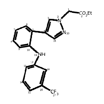 CCOC(=O)Cn1cc(-c2ccccc2Nc2cccc(C(F)(F)F)c2)cn1